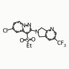 CCS(=O)(=O)c1c(N2Cc3cc(C(F)(F)F)cnc3C2)nn2ccc(Cl)cc12